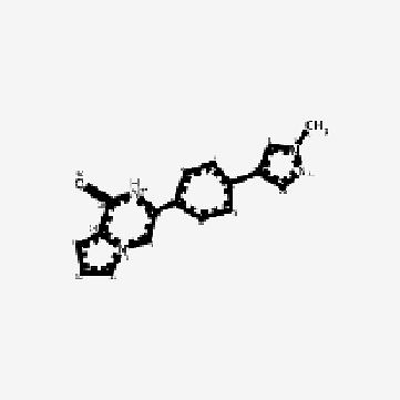 Cn1cc(-c2ccc(-c3cn4cccc4c(=O)[nH]3)cc2)cn1